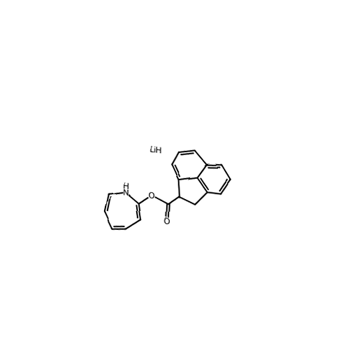 O=C(OC1=CC=CC=CN1)C1Cc2cccc3cccc1c23.[LiH]